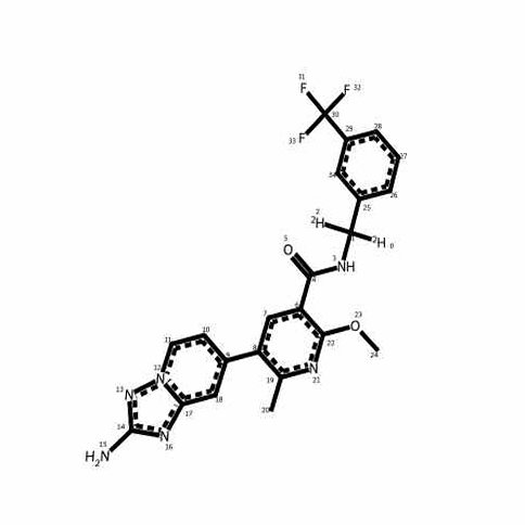 [2H]C([2H])(NC(=O)c1cc(-c2ccn3nc(N)nc3c2)c(C)nc1OC)c1cccc(C(F)(F)F)c1